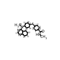 CNC(=O)c1cnc(Cc2ccc(N(C)c3ncnc4ccccc34)cc2)cn1